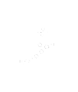 C=CC(=O)OCCCc1ccc(-c2cc(-c3ccc(COC(=O)C=C)cc3)ccc2-c2ccc(CC)cc2)cc1